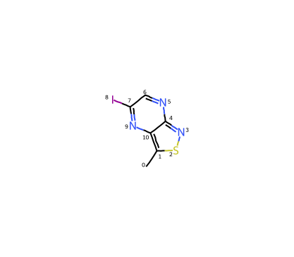 Cc1snc2ncc(I)nc12